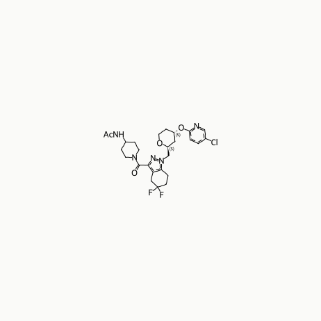 CC(=O)NC1CCN(C(=O)c2nn(C[C@@H]3C[C@@H](Oc4ccc(Cl)cn4)CCO3)c3c2CC(F)(F)CC3)CC1